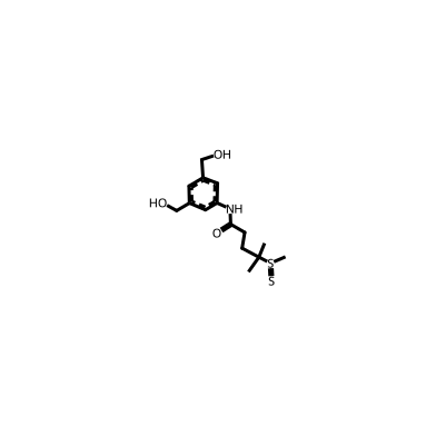 CS(=S)C(C)(C)CCC(=O)Nc1cc(CO)cc(CO)c1